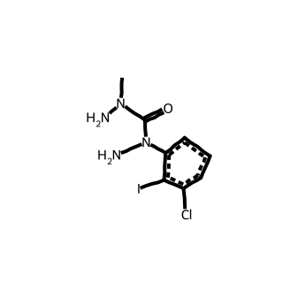 CN(N)C(=O)N(N)c1cccc(Cl)c1I